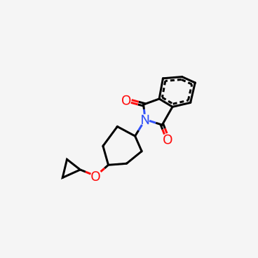 O=C1c2ccccc2C(=O)N1C1CCC(OC2CC2)CC1